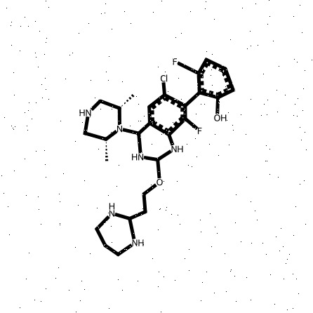 C[C@@H]1CNC[C@H](C)N1C1NC(OCCC2NCCCN2)Nc2c1cc(Cl)c(-c1c(O)cccc1F)c2F